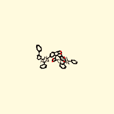 c1ccc(-c2cccc(-c3nc(-c4ccccc4)nc(-c4ccc5c(c4)C4(c6ccccc6Oc6ccccc64)c4c(-c6nc(-c7ccccc7)nc(-c7ccccc7)n6)cccc4-5)n3)c2)cc1